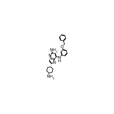 Nc1cc(Nc2cccc(OCc3ccccc3)c2)c2nc([C@H]3CC[C@H](N)CC3)cn2n1